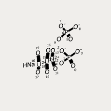 O=P([O-])([O-])[O-].O=P([O-])([O-])[O-].[NaH].[O]=[U+2]=[O].[O]=[U+2]=[O].[O]=[U+2]=[O]